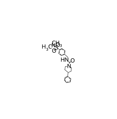 CN(C)S(=O)(=O)c1ccc(CNC(=O)N2CCC(c3ccccc3)CC2)cc1